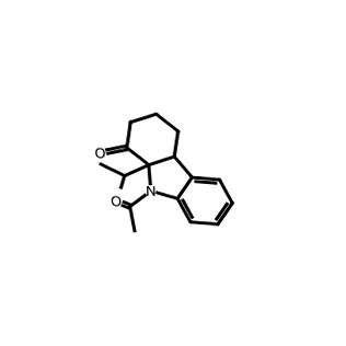 CC(=O)N1c2ccccc2C2CCCC(=O)C21C(C)C